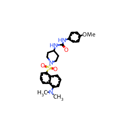 COc1ccc(NC(=O)NC2CCN(S(=O)(=O)c3cccc4c(N(C)C)cccc34)CC2)cc1